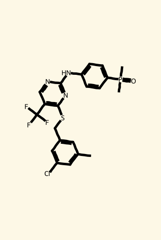 Cc1cc(Cl)cc(CSc2nc(Nc3ccc(P(C)(C)=O)cc3)ncc2C(F)(F)F)c1